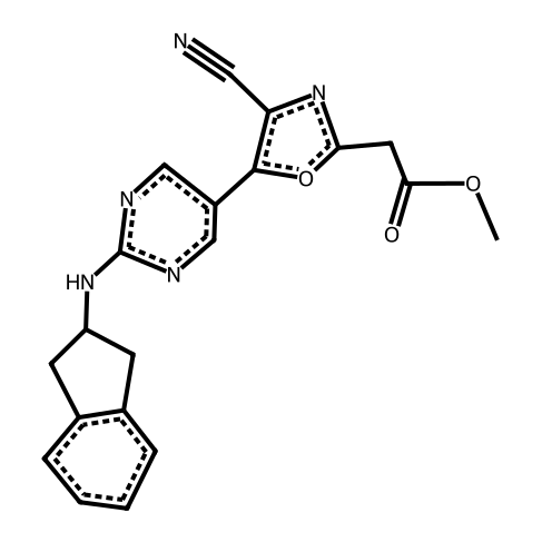 COC(=O)Cc1nc(C#N)c(-c2cnc(NC3Cc4ccccc4C3)nc2)o1